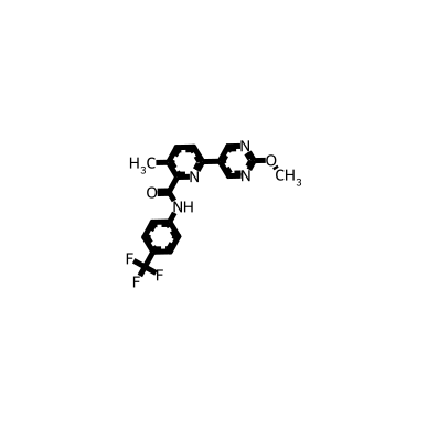 COc1ncc(-c2ccc(C)c(C(=O)Nc3ccc(C(F)(F)F)cc3)n2)cn1